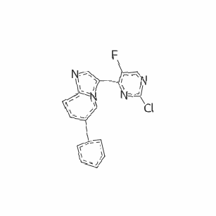 Fc1cnc(Cl)nc1-c1cnc2ccc(-c3ccccc3)cn12